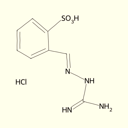 Cl.N=C(N)N/N=C/c1ccccc1S(=O)(=O)O